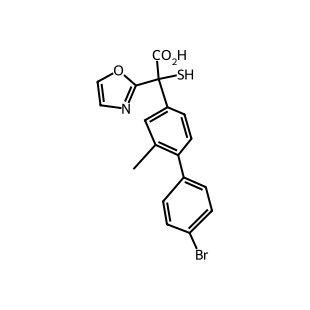 Cc1cc(C(S)(C(=O)O)c2ncco2)ccc1-c1ccc(Br)cc1